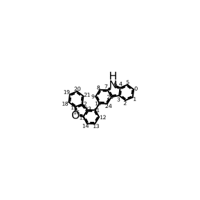 c1ccc2c(c1)[nH]c1ccc(-c3cccc4oc5ccccc5c34)cc12